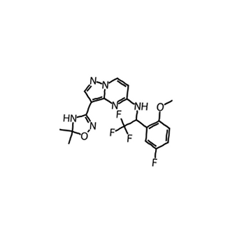 COc1ccc(F)cc1C(Nc1ccn2ncc(C3=NOC(C)(C)N3)c2n1)C(F)(F)F